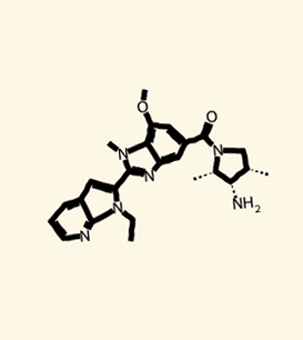 CCn1c(-c2nc3cc(C(=O)N4C[C@H](C)[C@H](N)[C@@H]4C)cc(OC)c3n2C)cc2cccnc21